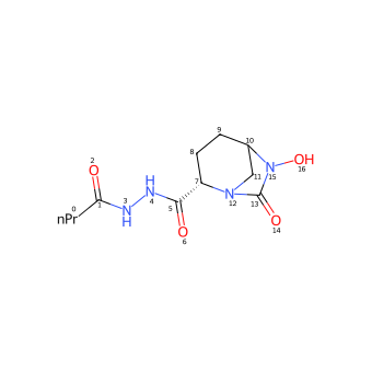 CCCC(=O)NNC(=O)[C@@H]1CCC2CN1C(=O)N2O